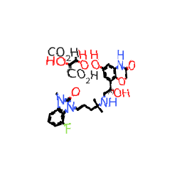 Cn1c(=O)n(CCCC(C)(C)NC[C@H](O)c2cc(O)cc3c2OCC(=O)N3)c2c(F)cccc21.O=C(O)C(O)C(O)C(=O)O